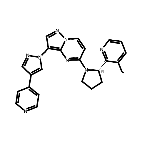 Fc1cccnc1[C@@H]1CCCN1c1ccn2ncc(-n3cc(-c4ccncc4)cn3)c2n1